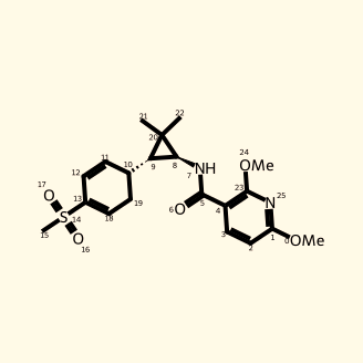 COc1ccc(C(=O)N[C@H]2[C@H](C3C=CC(S(C)(=O)=O)=CC3)C2(C)C)c(OC)n1